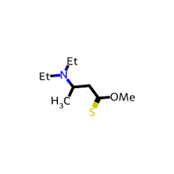 CCN(CC)C(C)CC(=S)OC